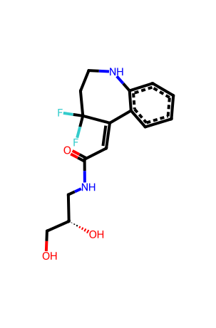 O=C(C=C1c2ccccc2NCCC1(F)F)NC[C@H](O)CO